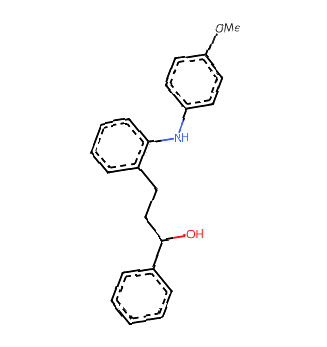 COc1ccc(Nc2ccccc2CCC(O)c2ccccc2)cc1